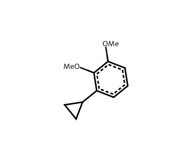 COc1cccc(C2CC2)c1OC